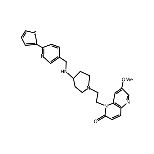 COc1cnc2ccc(=O)n(CCN3CCC(NCc4ccc(-c5cccs5)nc4)CC3)c2c1